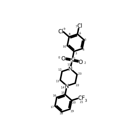 O=S(=O)(c1ccc(Cl)c(Cl)c1)N1CCN(c2ccccc2C(F)(F)F)CC1